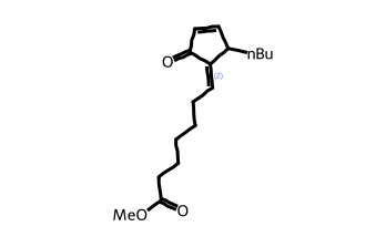 CCCCC1C=CC(=O)/C1=C\CCCCCC(=O)OC